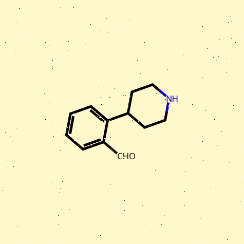 O=Cc1ccccc1C1CCNCC1